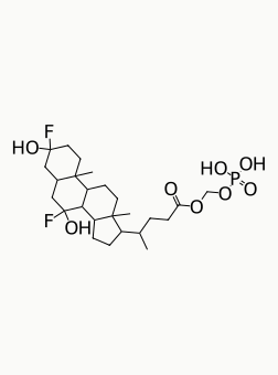 CC(CCC(=O)OCOP(=O)(O)O)C1CCC2C3C(CCC12C)C1(C)CCC(O)(F)CC1CC3(O)F